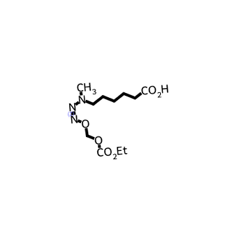 CCOC(=O)OCO/N=N\N(C)CCCCCC(=O)O